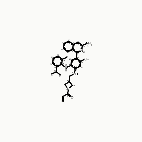 C=CC(=O)N1CC(CNc2cc(Cl)c(-c3nc(N)cc4ccccc34)cc2Nc2c(C)cccc2C(C)C)C1